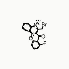 O=C(c1ccccc1F)c1c(CBr)[n+]([O-])c2ccccc2[n+]1[O-]